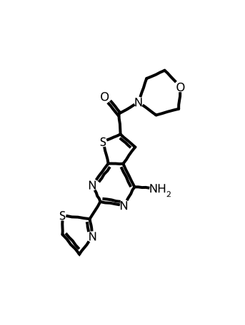 Nc1nc(-c2nccs2)nc2sc(C(=O)N3CCOCC3)cc12